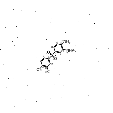 CC(=O)Nc1cc(S(=O)(=O)c2ccc(Cl)c(Cl)c2)ccc1N